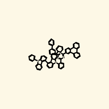 C1=CCC(c2ccc3c4c(-c5cccc6c5c5ccccc5n6-c5ccccc5)cccc4n(-c4ccccc4-c4nc(-c5cccc(-c6ccccc6)c5)nc(-c5ccc6c7ccccc7c7ccccc7c6c5)n4)c3c2)C=C1